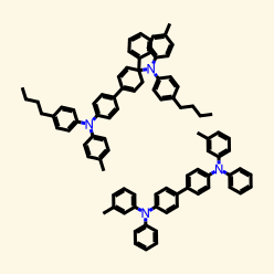 CCCCc1ccc(N(c2ccc(C)cc2)c2ccc(C3=CCC(c4ccccc4)(N(c4ccc(C)cc4)c4ccc(CCCC)cc4)C=C3)cc2)cc1.Cc1cccc(N(c2ccccc2)c2ccc(-c3ccc(N(c4ccccc4)c4cccc(C)c4)cc3)cc2)c1